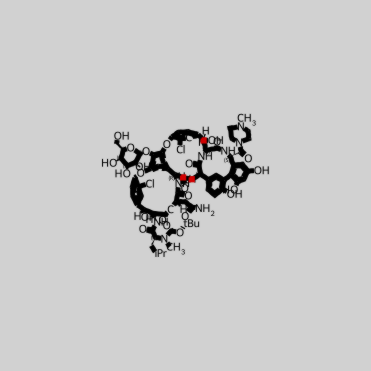 CC(C)C[C@H](C(=O)N[C@H]1C(=O)C[C@@H](CC(N)=O)C(=O)N[C@H]2C(=O)C[C@@H]3C(=O)N[C@H](C(=O)N[C@H](C(=O)N4CCN(C)CC4)c4cc(O)cc(O)c4-c4cc3ccc4O)[C@H](O)c3ccc(c(Cl)c3)Oc3cc2cc(c3O[C@@H]2O[C@H](CO)[C@@H](O)[C@H](O)[C@H]2O)Oc2ccc(cc2Cl)[C@H]1O)N(C)C(=O)OC(C)(C)C